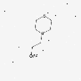 CC(=O)OCCN1CCSCC1